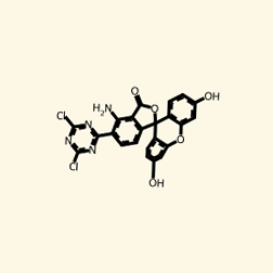 Nc1c(-c2nc(Cl)nc(Cl)n2)ccc2c1C(=O)OC21c2ccc(O)cc2Oc2cc(O)ccc21